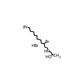 Br.CC(C)CCCCCCCCC(Br)CCNCC(C)O